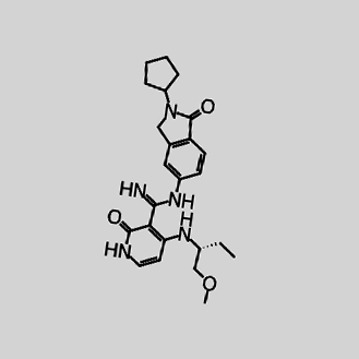 CC[C@H](COC)Nc1cc[nH]c(=O)c1C(=N)Nc1ccc2c(c1)CN(C1CCCC1)C2=O